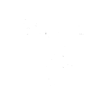 CCC(OC)Oc1cc(Oc2ccc(S(=O)(=O)N(C)C)cc2Cl)cc(C(=O)Nc2ccn(C)n2)c1